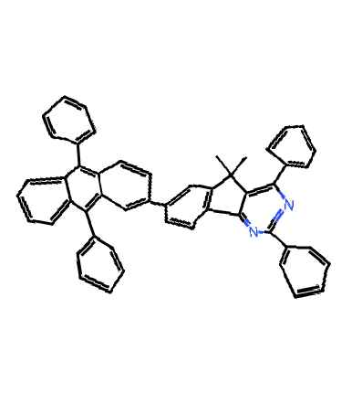 CC1(C)c2cc(-c3ccc4c(-c5ccccc5)c5ccccc5c(-c5ccccc5)c4c3)ccc2-c2nc(-c3ccccc3)nc(-c3ccccc3)c21